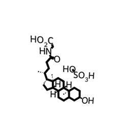 C[C@H](CCC(=O)NCC(=O)O)[C@H]1CC[C@H]2[C@@H]3CCC4C[C@H](O)CC[C@]4(C)[C@H]3CC[C@]12C.O=S(=O)(O)O